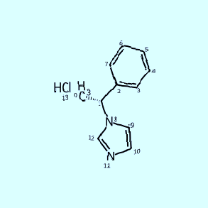 C[C@H](c1ccccc1)n1[c]cnc1.Cl